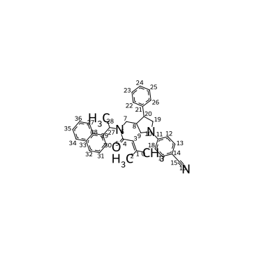 CC(C)=CC(=O)N(CC1CN(c2ccc(C#N)cc2)CC1c1ccccc1)C(C)c1cccc2ccccc12